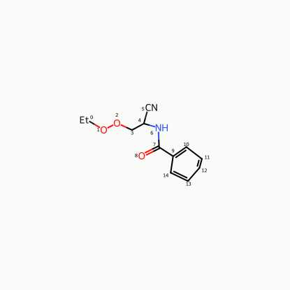 CCOOCC(C#N)NC(=O)c1ccccc1